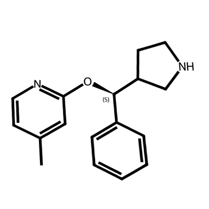 Cc1ccnc(O[C@H](c2ccccc2)C2CCNC2)c1